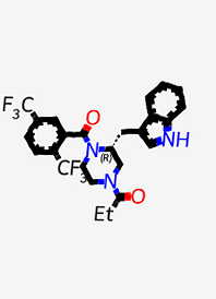 CCC(=O)N1CCN(C(=O)c2cc(C(F)(F)F)ccc2C(F)(F)F)[C@H](Cc2c[nH]c3ccccc23)C1